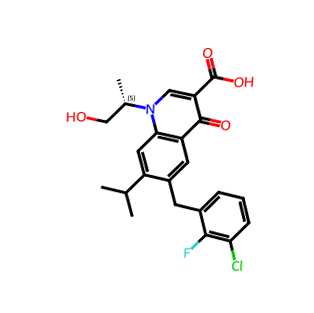 CC(C)c1cc2c(cc1Cc1cccc(Cl)c1F)c(=O)c(C(=O)O)cn2[C@@H](C)CO